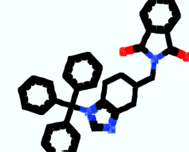 O=C1c2ccccc2C(=O)N1CC1CCc2c(ncn2C(c2ccccc2)(c2ccccc2)c2ccccc2)C1